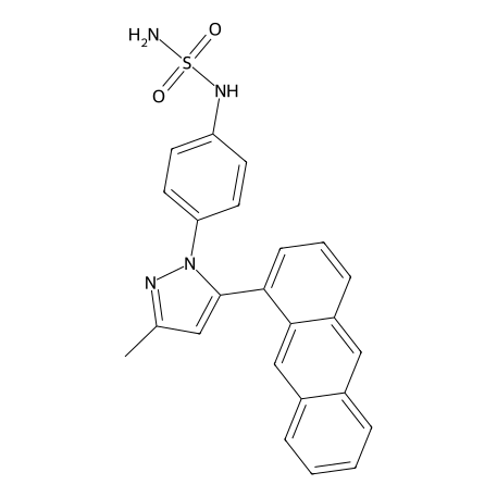 Cc1cc(-c2cccc3cc4ccccc4cc23)n(-c2ccc(NS(N)(=O)=O)cc2)n1